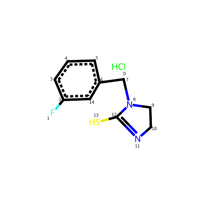 Cl.Fc1cccc(CN2CCN=C2S)c1